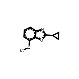 CCOc1c[c]cc2nc(C3CC3)oc12